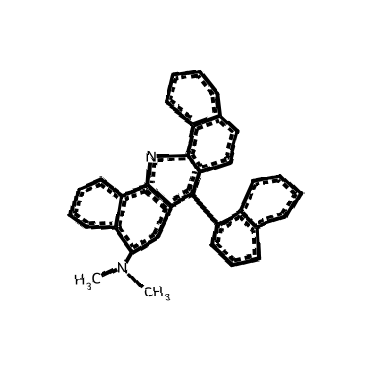 CN(C)c1cc2c(-c3cccc4ccccc34)c3ccc4ccccc4c3nc2c2ccccc12